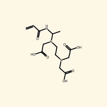 C=CC(=O)NC(C)N(CCN(CC(=O)O)CC(=O)O)CC(=O)O